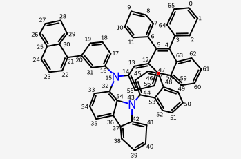 c1ccc(-c2c(-c3ccccc3)c3cc(N(c4cccc(-c5cccc6ccccc56)c4)c4cccc5c6ccccc6n(-c6cccc7ccccc67)c45)ccc3c3ccccc23)cc1